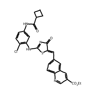 CCOC(=O)c1cnc2ccc(/C=C3\SC(Nc4cc(NC(=O)C5CCC5)ccc4Cl)=NC3=O)cc2c1